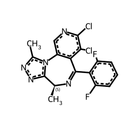 Cc1nnc2n1-c1cnc(Cl)c(Cl)c1C(c1c(F)cccc1F)=N[C@H]2C